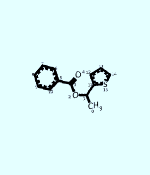 CC(OC(=O)c1ccccc1)c1cccs1